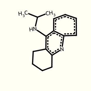 CC(C)Nc1c2c(nc3ccccc13)CCCC2